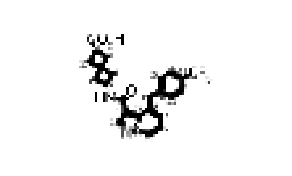 O=C(N[C@H]1CC2(C1)C[C@H](C(=O)O)C2)c1cnn2cccc(Cc3ccc(C(F)(F)F)cc3)c12